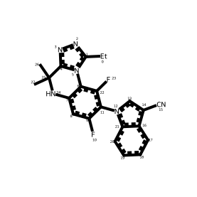 CCc1nnc2n1-c1c(cc(F)c(-n3cc(C#N)c4ccccc43)c1F)NC2(C)C